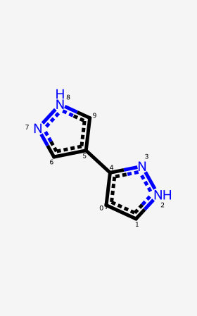 [c]1c[nH]nc1-c1cn[nH]c1